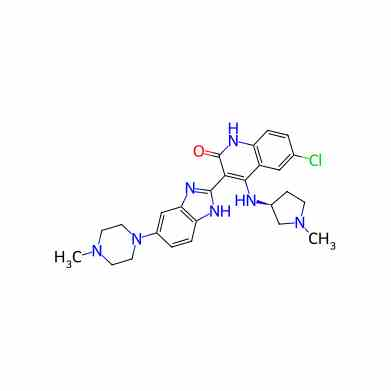 CN1CCN(c2ccc3[nH]c(-c4c(N[C@H]5CCN(C)C5)c5cc(Cl)ccc5[nH]c4=O)nc3c2)CC1